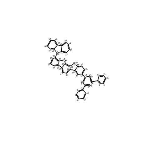 c1ccc(-c2nc(-c3ccccc3)nc(-c3ccc4sc5c(ccc6c7cccc(-n8c9ccccc9c9ccccc98)c7sc65)c4c3)n2)cc1